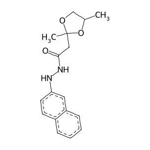 CC1COC(C)(CC(=O)NNc2ccc3ccccc3c2)O1